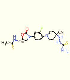 CC(=S)NC[C@H]1CN(c2ccc(N3CCC(C#N)(NNC(N)=S)CC3)c(F)c2)C(=O)O1